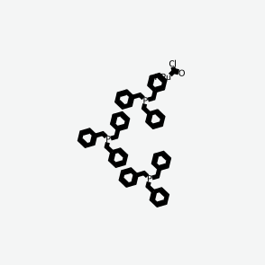 O=[C](Cl)[RuH].c1ccc(CP(Cc2ccccc2)Cc2ccccc2)cc1.c1ccc(CP(Cc2ccccc2)Cc2ccccc2)cc1.c1ccc(CP(Cc2ccccc2)Cc2ccccc2)cc1